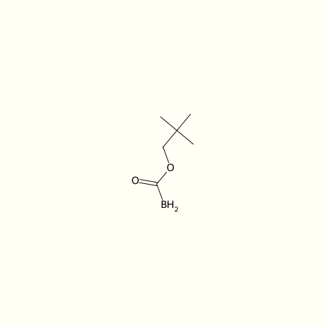 BC(=O)OCC(C)(C)C